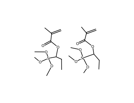 C=C(C)C(=O)OC(CC)[Si](OC)(OC)OC.C=C(C)C(=O)OC(CC)[Si](OC)(OC)OC